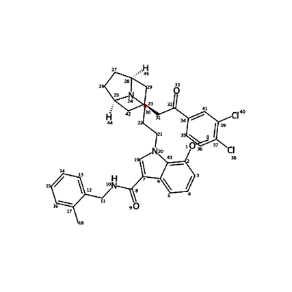 COc1cccc2c(C(=O)NCc3ccccc3C)cn(CCCN3[C@@H]4CC[C@H]3C[C@@H](CC(=O)c3ccc(Cl)c(Cl)c3)C4)c12